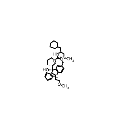 CNCC(CC1CCCCC1)NC(=O)N1CCC[C@@H]([C@@](O)(CCCCOC)c2cc(F)ccc2Oc2ccccc2)C1